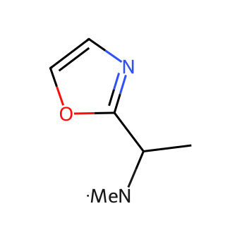 C[N]C(C)c1ncco1